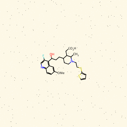 COc1ccc2ncc(F)c(C(O)CCC3CCN(CCSc4cccs4)C(C)C3CC(=O)O)c2c1